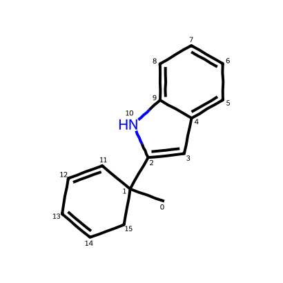 CC1(c2cc3ccccc3[nH]2)C=CC=CC1